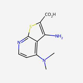 CN(C)c1ccnc2sc(C(=O)O)c(N)c12